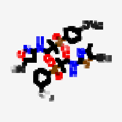 COc1ccc(S(=O)(=O)C(C)(C)C(=O)Nc2cc(C(C)(C)C)on2)cc1.Cc1nc(NC(=O)C(C)(C)S(=O)(=O)c2cccc(C(F)(F)F)c2)sc1C(C)(C)C